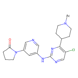 CC(=O)N1CCC(c2nc(Nc3cncc(N4CCCC4=O)c3)ncc2Cl)CC1